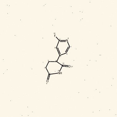 O=C1CCC(c2ccnc(F)c2)C(=O)N1